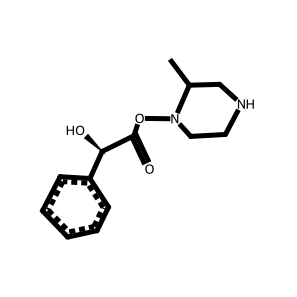 CC1CNCCN1OC(=O)[C@H](O)c1ccccc1